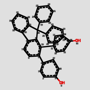 Oc1ccc(-c2ccc3c(c2-c2ccc(O)cc2)C(c2ccccc2)(c2ccccc2)c2ccccc2-3)cc1